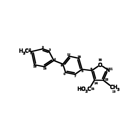 Cc1ccc(-c2ccc(-c3onc(C)c3C(=O)O)cc2)cc1